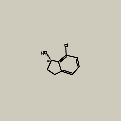 O[C@H]1CCc2cccc(Cl)c21